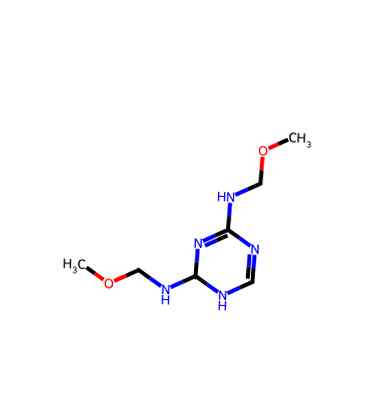 COCN[C]1N=C(NCOC)N=CN1